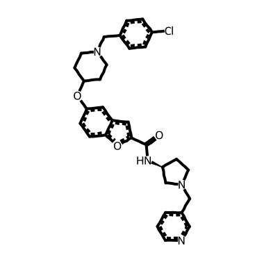 O=C(N[C@H]1CCN(Cc2cccnc2)C1)c1cc2cc(OC3CCN(Cc4ccc(Cl)cc4)CC3)ccc2o1